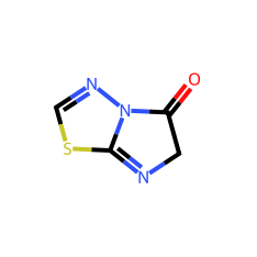 O=C1CN=C2SC=NN12